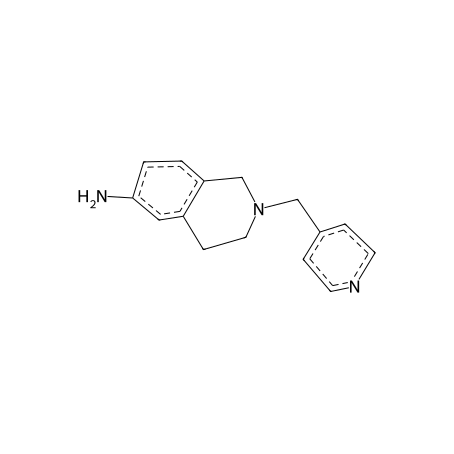 Nc1ccc2c(c1)CCN(Cc1ccncc1)C2